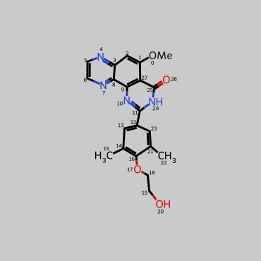 COc1cc2nccnc2c2nc(-c3cc(C)c(OCCO)c(C)c3)[nH]c(=O)c12